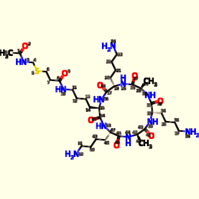 CC(=O)NCSCCC(=O)NCCCC[C@H]1NC(=O)[C@H](CCCCN)NC(=O)[C@@H](C)NC(=O)[C@H](CCCCN)NC(=O)[C@@H](C)NC(=O)[C@H](CCCCN)NC1=O